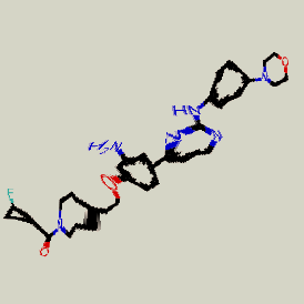 Nc1cc(-c2ccnc(Nc3ccc(N4CCOCC4)cc3)n2)ccc1OCC1CCN(C(=O)C2C[C@H]2F)CC1